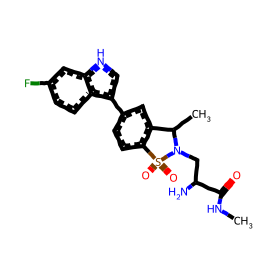 CNC(=O)C(N)CN1C(C)c2cc(-c3c[nH]c4cc(F)ccc34)ccc2S1(=O)=O